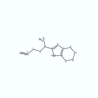 CCCCCCCCCC(C)C1=CC2=C(CCCC2)[N]1